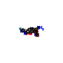 C[C@]12Cc3cnn(-c4ccc(F)nc4)c3C=C1CC[C@@H]1C2[C@@H](O)C[C@@]2(C)C1CC[C@]2(OC(=O)c1cocn1)C(=O)SCN